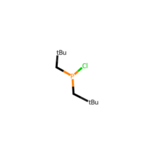 CC(C)(C)CP(Cl)CC(C)(C)C